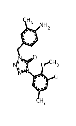 COc1c(Cl)cc(C)cc1-n1nnn(Cc2ccc(N)c(C)c2)c1=O